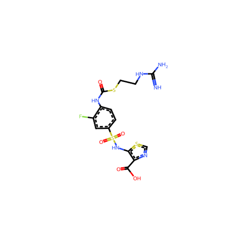 N=C(N)NCCSC(=O)Nc1ccc(S(=O)(=O)Nc2scnc2C(=O)O)cc1F